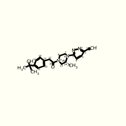 C#Cc1ccc(N2CCN(C(=O)Cc3ccc(C(C)(C)C)cc3)C[C@H]2C)nn1